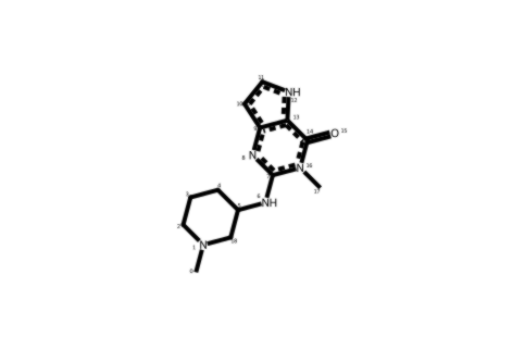 CN1CCCC(Nc2nc3cc[nH]c3c(=O)n2C)C1